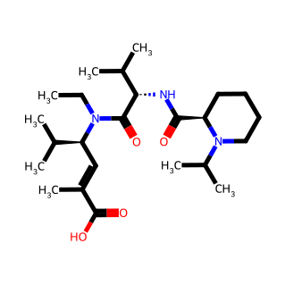 CCN(C(=O)[C@@H](NC(=O)[C@H]1CCCCN1C(C)C)C(C)C)[C@@H](/C=C(\C)C(=O)O)C(C)C